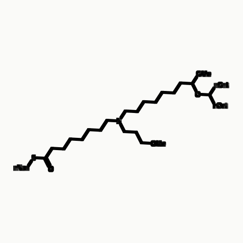 CCCCCCCCCSC(=O)CCCCCCCN(CCCCCCCC(OC)OC(CCCCCCCC)CCCCCCCC)CCCOC